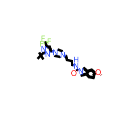 COc1ccc2cn(C(=O)NCCCCN3CCN(c4cc(C(F)(F)F)nc(C(C)(C)C)n4)CC3)cc2c1